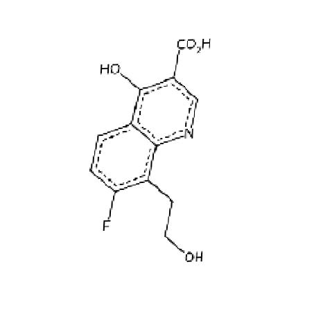 O=C(O)c1cnc2c(CCO)c(F)ccc2c1O